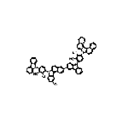 CC(C)(C)c1ccc2c(c1)c1c3ccc(-c4ccc5c(c4)c4ccccc4n5-c4ccc(-n5c6ccc7ccccc7c6c6c7ccccc7ccc65)c(C#N)c4C#N)cc3ccc1n2-c1ccc(-n2c3ccccc3c3ccccc32)c(C#N)c1C#N